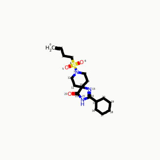 C=CCCS(=O)(=O)N1CCC2(CC1)N=C(C1CCCCC1)NC2=O